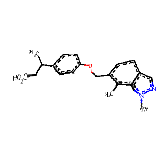 CCCn1ncc2ccc(COc3ccc(C(C)CC(=O)O)cc3)c(C)c21